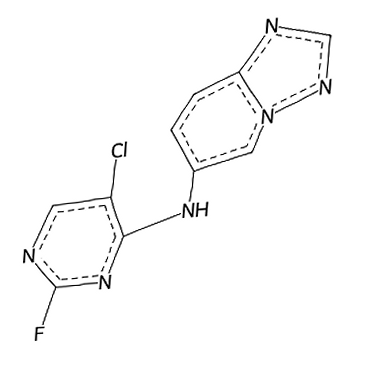 Fc1ncc(Cl)c(Nc2ccc3ncnn3c2)n1